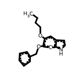 CCCCOc1cc2cc[nH]c2cc1OCc1ccccc1